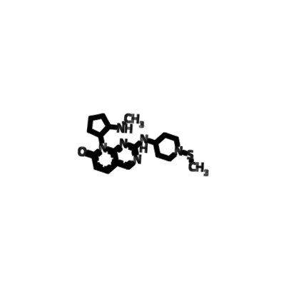 CNC1CCCC1n1c(=O)ccc2cnc(NC3CCN(SC)CC3)nc21